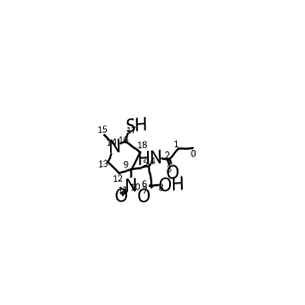 CCC(=O)NC(C(=O)O)C1(N=O)CCN(C)C(S)C1